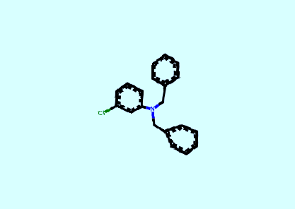 Clc1cccc(N(Cc2ccccc2)Cc2ccccc2)c1